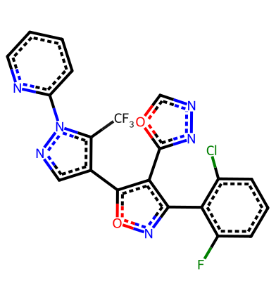 Fc1cccc(Cl)c1-c1noc(-c2cnn(-c3ccccn3)c2C(F)(F)F)c1-c1nnco1